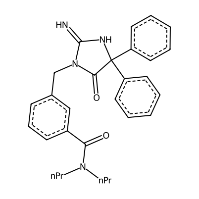 CCCN(CCC)C(=O)c1cccc(CN2C(=N)NC(c3ccccc3)(c3ccccc3)C2=O)c1